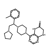 Cc1ccccc1C(CN1CCCC1)N1CCN(c2ncnc3c2NC(=O)CN3)CC1